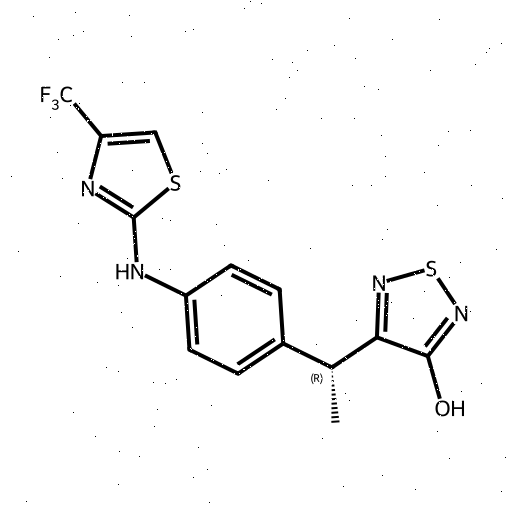 C[C@H](c1ccc(Nc2nc(C(F)(F)F)cs2)cc1)c1nsnc1O